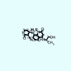 C[C@H](CO)Nc1cc(=O)n(C)c2c(Nc3ccnc(Cl)c3C#N)cccc12